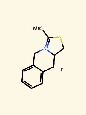 CSC1=[N+]2Cc3ccccc3CC2CS1.[I-]